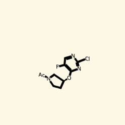 CC(=O)N1CC[C@H](Oc2nc(Cl)ncc2F)C1